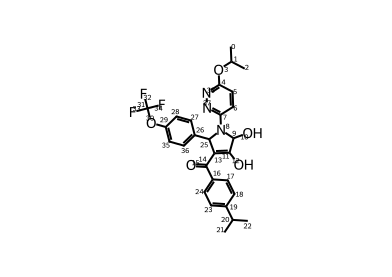 CC(C)Oc1ccc(N2C(O)C(O)=C(C(=O)c3ccc(C(C)C)cc3)C2c2ccc(OC(F)(F)F)cc2)nn1